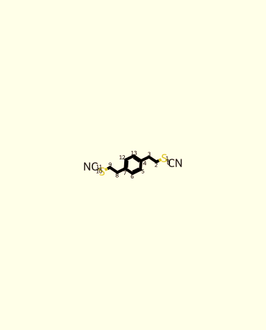 N#CSCCc1ccc(CCSC#N)cc1